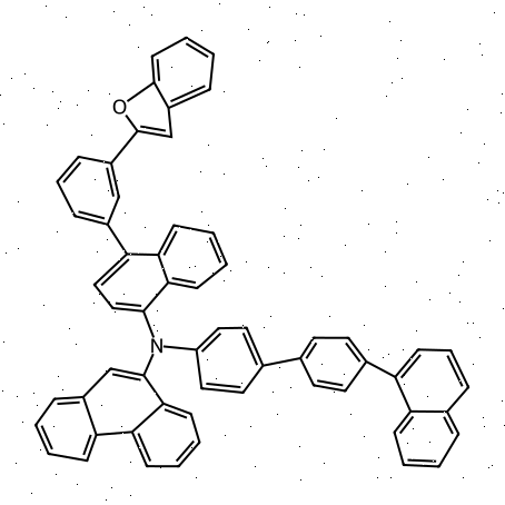 c1cc(-c2cc3ccccc3o2)cc(-c2ccc(N(c3ccc(-c4ccc(-c5cccc6ccccc56)cc4)cc3)c3cc4ccccc4c4ccccc34)c3ccccc23)c1